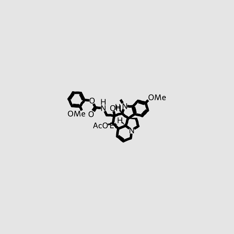 CC[C@]12C=CCN3CC[C@@]4(c5ccc(OC)cc5N(C)[C@H]4C(O)(CNC(=O)Oc4ccccc4OC)[C@@H]1OC(C)=O)[C@@H]32